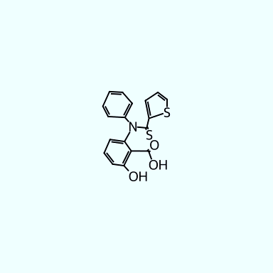 O=C(O)c1c(O)cccc1N(C(=S)c1cccs1)c1ccccc1